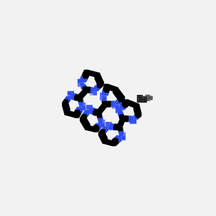 [Ru+2].c1cnc(-c2ncccn2)nc1.c1cnc(-c2ncccn2)nc1.c1cnc(-c2ncccn2)nc1